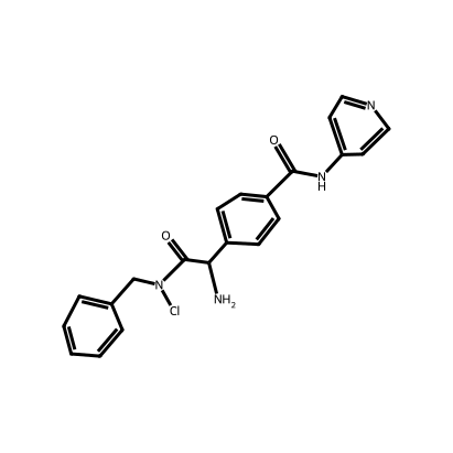 NC(C(=O)N(Cl)Cc1ccccc1)c1ccc(C(=O)Nc2ccncc2)cc1